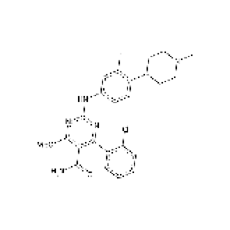 COc1nc(Nc2ccc(C3CCN(C)CC3)c(C)c2)nc(-c2ccccc2Cl)c1C(N)=O